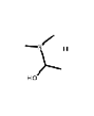 CC(O)N(C)C.I